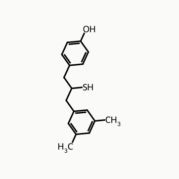 Cc1cc(C)cc(CC(S)Cc2ccc(O)cc2)c1